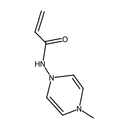 C=CC(=O)NN1C=CN(C)C=C1